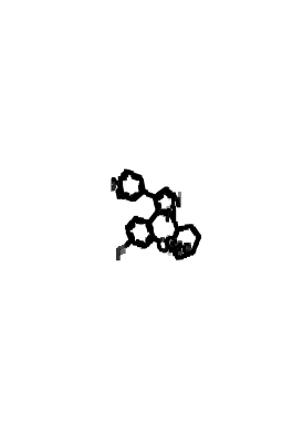 COc1cc(F)ccc1-c1c(-c2ccncc2)cnn1C1CCCCO1